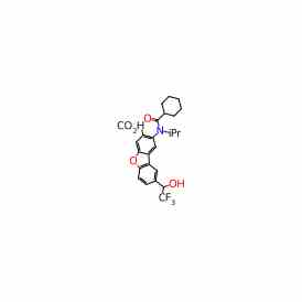 CC(C)N(C(=O)C1CCCCC1)c1cc2c(cc1C(=O)O)oc1ccc(C(O)C(F)(F)F)cc12